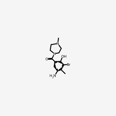 Cc1c(N)cc(C(=O)N2CCN(C)CC2)c(O)c1Br